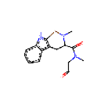 CN(CC=O)C(=O)C1Cc2c([nH]c3ccccc23)SN1C